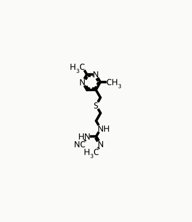 CN=C(NC#N)NCCSCc1cnc(C)nc1C